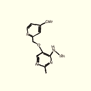 CCCCNc1nc(C)ncc1OCc1cc(OC)ccn1